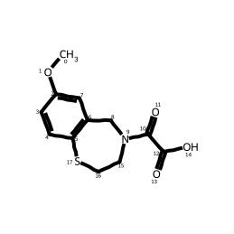 COc1ccc2c(c1)CN(C(=O)C(=O)O)CCS2